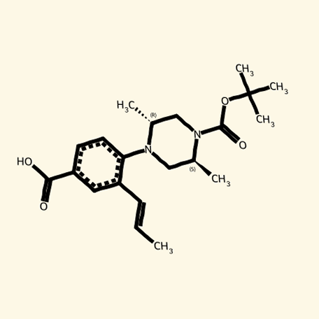 CC=Cc1cc(C(=O)O)ccc1N1C[C@H](C)N(C(=O)OC(C)(C)C)C[C@H]1C